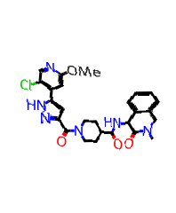 COc1cc(-c2cc(C(=O)N3CCC(C(=O)NC4C(=O)N(C)Cc5ccccc54)CC3)n[nH]2)c(Cl)cn1